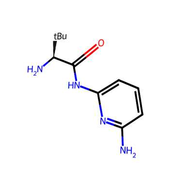 CC(C)(C)[C@H](N)C(=O)Nc1cccc(N)n1